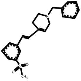 CS(=O)(=O)c1cccc(C=CC2=CCN(Cc3ccccc3)CC2)c1